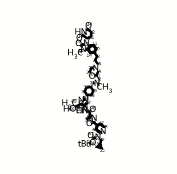 CN(C[C@@H]1CN(CCCc2ccc3c(c2)n(C)c(=O)n3C2CCC(=O)NC2=O)CCO1)C[C@H]1CC[C@H](n2cc(NC(=O)c3coc(-c4ccnc(N(CC5CC5)C(=O)OC(C)(C)C)c4)n3)c(C(C)(C)O)n2)CC1